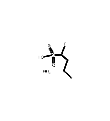 CCCC(F)S(=O)(=O)O.N